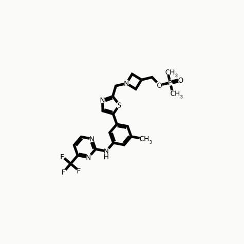 Cc1cc(Nc2nccc(C(F)(F)F)n2)cc(-c2cnc(CN3CC(COP(C)(C)=O)C3)s2)c1